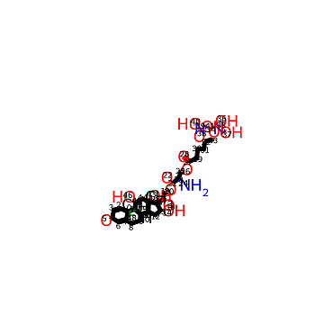 C[C@]12C=CC(=O)C=C1CC[C@H]1[C@@H]3C[C@@H](O)[C@](O)(C(=O)COC(=O)C(N)COC(=O)CCCC(CON(O)O)ON(O)O)[C@@]3(C)C[C@H](O)[C@@]12F